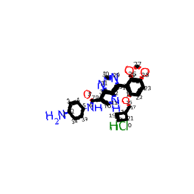 Cl.N[C@H]1CC[C@H](NC(=O)c2c[nH]c3c(-c4c(OCC5CCC5)ccc5c4OCO5)ncnc23)CC1